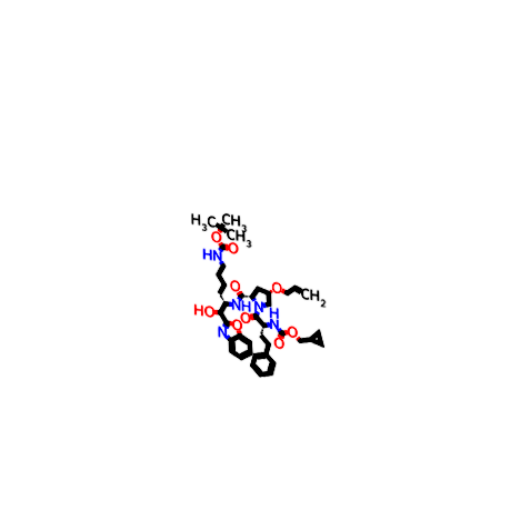 C=CCO[C@@H]1C[C@@H](C(=O)N[C@@H](CCCCNC(=O)OC(C)(C)C)C(O)c2nc3ccccc3o2)N(C(=O)[C@@H](CCc2ccccc2)NC(=O)OCC2CC2)C1